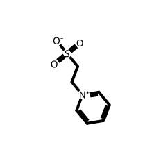 O=S(=O)([O-])CC[n+]1ccccc1